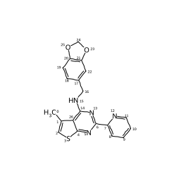 Cc1csc2nc(-c3ccccn3)nc(NCc3ccc4c(c3)OCO4)c12